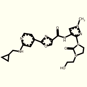 Cn1cc(NC(=O)c2coc(-c3ccnc(NCC4CC4)c3)n2)c(N2CCN(CCO)C2=O)n1